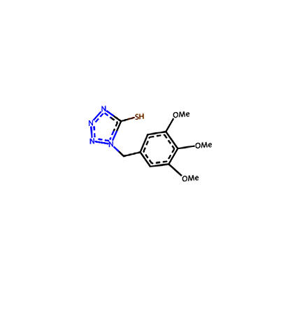 COc1cc(Cn2nnnc2S)cc(OC)c1OC